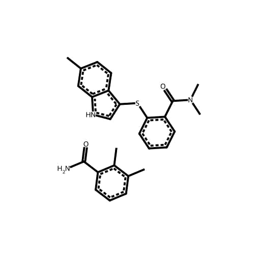 Cc1ccc2c(Sc3ccccc3C(=O)N(C)C)c[nH]c2c1.Cc1cccc(C(N)=O)c1C